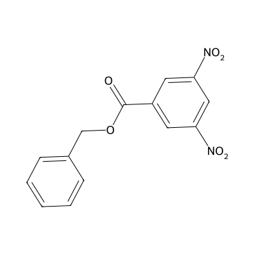 O=C(OCc1ccccc1)c1cc([N+](=O)[O-])cc([N+](=O)[O-])c1